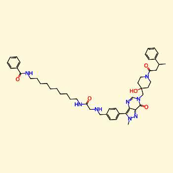 CC(CC(=O)N1CCC(O)(Cn2cnc3c(-c4ccc(CNCC(=O)NCCCCCCCCCCNC(=O)c5ccccc5)cc4)n(C)nc3c2=O)CC1)c1ccccc1